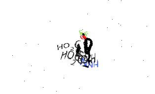 CC[C@@]1(Cc2ccc(OC(F)F)cc2)CNCCN1C(=O)O.O=C(O)C=CC(=O)O